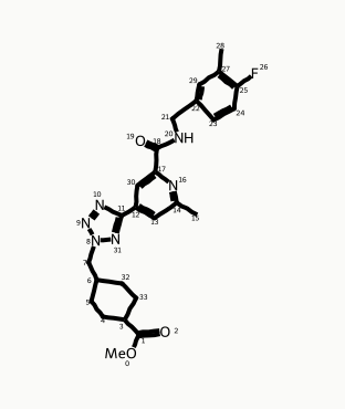 COC(=O)C1CCC(Cn2nnc(-c3cc(C)nc(C(=O)NCc4ccc(F)c(C)c4)c3)n2)CC1